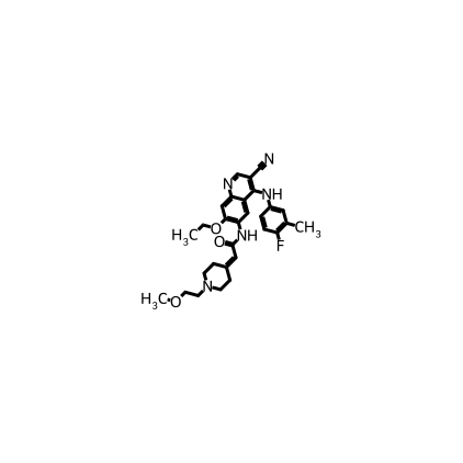 CCOc1cc2ncc(C#N)c(Nc3ccc(F)c(C)c3)c2cc1NC(=O)C=C1CCN(CCOC)CC1